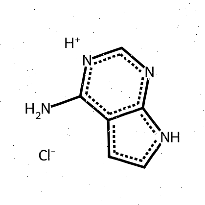 Nc1ncnc2[nH]ccc12.[Cl-].[H+]